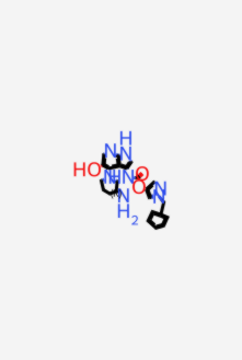 N[C@@H]1CCCN(c2c(O)cnc3[nH]cc(NC(=O)Oc4cnn(Cc5ccccc5)c4)c23)C1